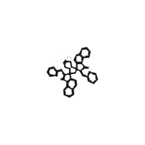 O=C(O)CCC1(CC2(CCC(=O)O)c3cc4ccccc4nc3-c3c2ccc2ccccc32)c2cc3ccccc3nc2-c2c1ccc1ccccc21